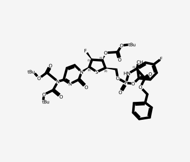 C[C@H](NP(=O)(OC[C@H]1S[C@@H](n2ccc(N(C(=O)OC(C)(C)C)C(=O)OC(C)(C)C)nc2=O)[C@@H](F)[C@@H]1OC(=O)OC(C)(C)C)Oc1ccc(F)cc1)C(=O)OCc1ccccc1